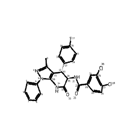 Cc1nn(-c2ccccc2)c2c1[C@H](c1ccc(F)cc1)[C@@H](NC(=O)c1ccc(Cl)c(Cl)c1)C(=O)N2